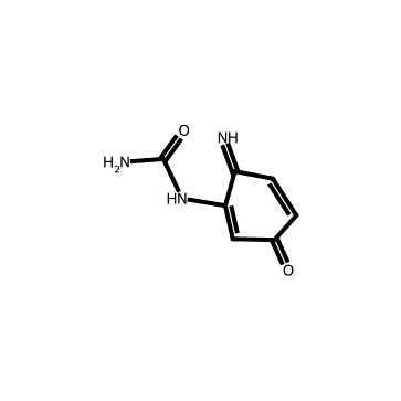 N=C1C=CC(=O)C=C1NC(N)=O